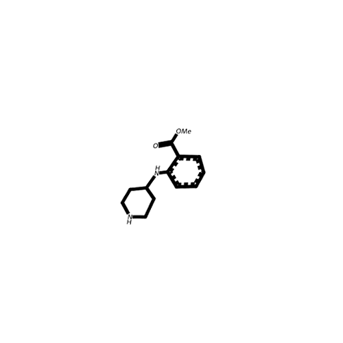 COC(=O)c1ccccc1NC1CCNCC1